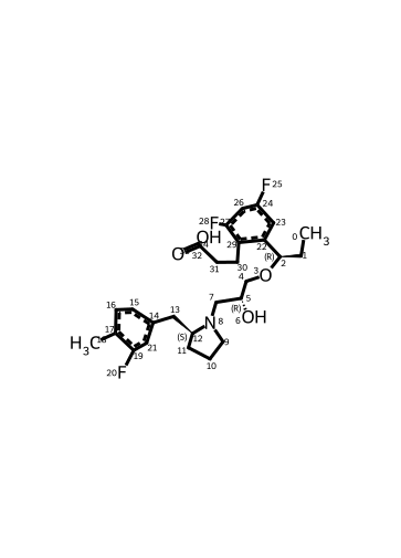 CC[C@@H](OC[C@H](O)CN1CCC[C@H]1Cc1ccc(C)c(F)c1)c1cc(F)cc(F)c1CCC(=O)O